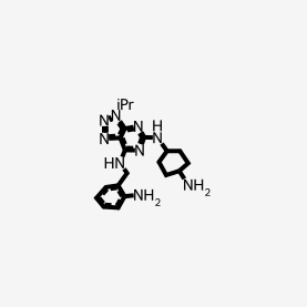 CC(C)n1nnc2c(NCc3ccccc3N)nc(NC3CCC(N)CC3)nc21